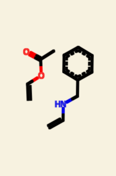 C=CNCc1ccccc1.C=COC(C)=O